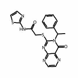 CC(c1ccccc1)n1c(SCC(=O)Nc2nccs2)nc2nccnc2c1=O